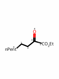 CCCCCCCC(=O)C(=O)OCC